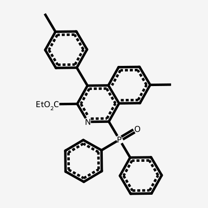 CCOC(=O)c1nc(P(=O)(c2ccccc2)c2ccccc2)c2cc(C)ccc2c1-c1ccc(C)cc1